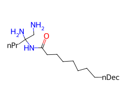 CCCCCCCCCCCCCCCCCC(=O)NC(N)(CN)CCC